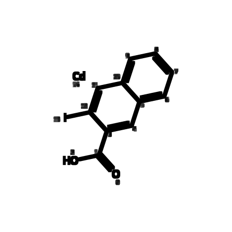 O=C(O)c1cc2ccccc2cc1I.[Cd]